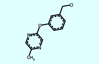 Cc1cnc(Oc2cccc(CCl)c2)cn1